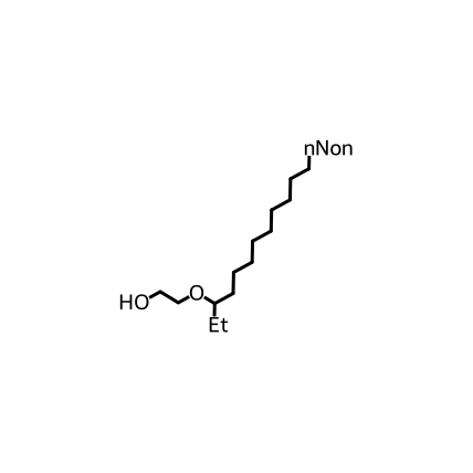 CCCCCCCCCCCCCCCCCCC(CC)OCCO